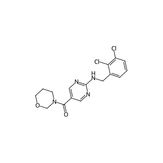 O=C(c1cnc(NCc2cccc(Cl)c2Cl)nc1)N1CCCOC1